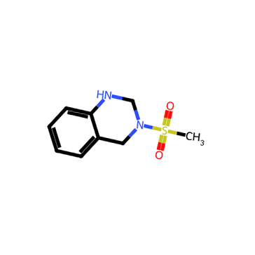 CS(=O)(=O)N1CNc2ccccc2C1